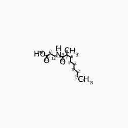 CCCCCCCC(C)C(=O)NCCC(=O)O